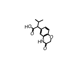 CC(C)C(C(=O)O)c1ccc2c(c1)NC(=O)CO2